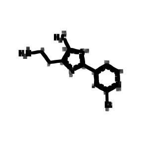 CCc1cc(-c2nc(CCN)c(C)s2)ccn1